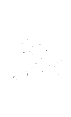 Cc1ccc(-n2nc(C(N)=O)c3c2-c2cn[nH]c2CC3)cc1